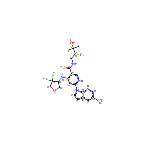 CC(C)(O)[C@H](F)CNC(=O)c1cnc(-n2ccc3cc(C#N)cnc32)cc1NC1COCC1(F)F